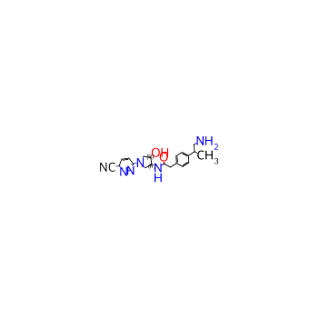 CC(CN)c1ccc(CC(=O)N[C@@H]2CN(c3ccc(C#N)nn3)C[C@H]2O)cc1